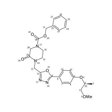 COC[C@H](C)Oc1ccc(-c2nnc(CN3CCN(C(=O)OCc4ccccc4)CC3=O)o2)cc1